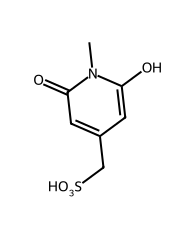 Cn1c(O)cc(CS(=O)(=O)O)cc1=O